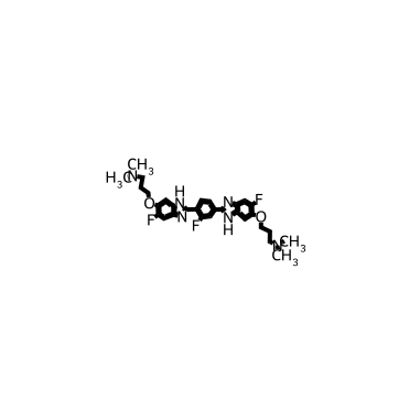 CN(C)CCCOc1cc2[nH]c(-c3ccc(-c4nc5cc(F)c(OCCCN(C)C)cc5[nH]4)c(F)c3)nc2cc1F